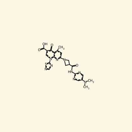 Cc1cc(N2CC(C(=O)Nc3ncc(N(C)C)cn3)C2)nc2c1c(=O)c(C(=O)O)cn2-c1ncns1